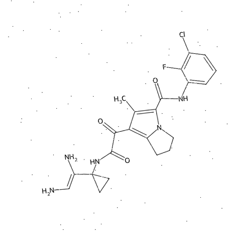 Cc1c(C(=O)C(=O)NC2(/C(N)=C/N)CC2)c2n(c1C(=O)Nc1cccc(Cl)c1F)CCC2